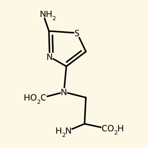 Nc1nc(N(CC(N)C(=O)O)C(=O)O)cs1